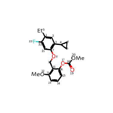 CCc1cc(C2CC2)c(OCc2c(OC)cccc2OC(=O)OC)cc1F